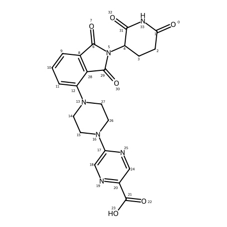 O=C1CCC(N2C(=O)c3cccc(N4CCN(c5cnc(C(=O)O)cn5)CC4)c3C2=O)C(=O)N1